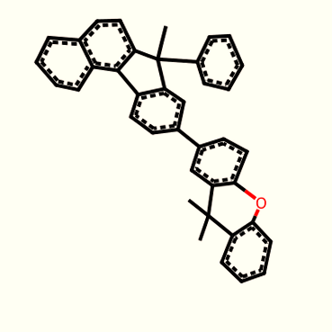 CC1(C)c2ccccc2Oc2ccc(-c3ccc4c(c3)C(C)(c3ccccc3)c3ccc5ccccc5c3-4)cc21